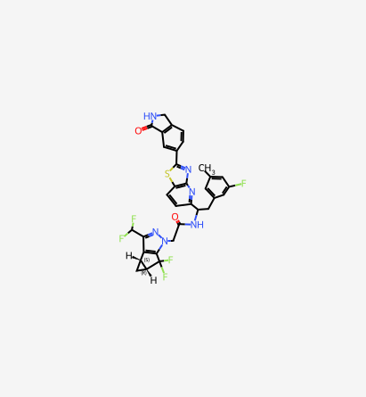 Cc1cc(F)cc(CC(NC(=O)Cn2nc(C(F)F)c3c2C(F)(F)[C@@H]2C[C@H]32)c2ccc3sc(-c4ccc5c(c4)C(=O)NC5)nc3n2)c1